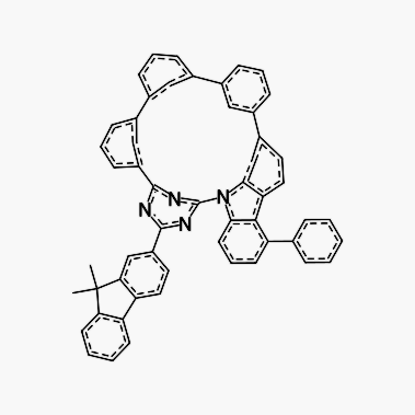 CC1(C)c2ccccc2-c2ccc(-c3nc4nc(n3)-n3c5cc(ccc5c5c(-c6ccccc6)cccc53)-c3cccc(c3)-c3cccc(c3)-c3cccc-4c3)cc21